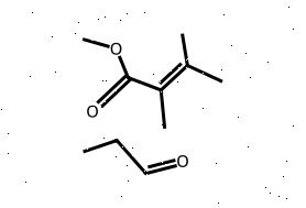 CCC=O.COC(=O)C(C)=C(C)C